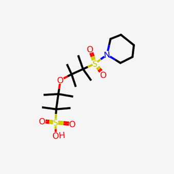 CC(C)(OC(C)(C)C(C)(C)S(=O)(=O)N1CCCCC1)C(C)(C)S(=O)(=O)O